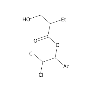 CCC(CO)C(=O)OC(C(C)=O)C(Cl)Cl